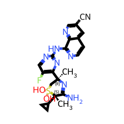 C[C@@]1(c2nc(Nc3nccc4cc(C#N)cnc34)ncc2F)CS(O)(O)[C@@](C)(C2CC2)C(N)=N1